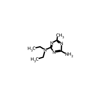 CCN(CC)c1nc(C)nc(N)n1